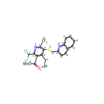 COC(=O)c1c(C(F)F)nc(C(F)(F)F)c(SCc2ccc3ccccc3n2)c1CC(C)C